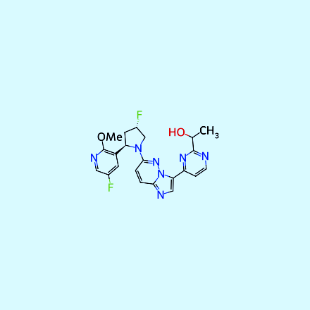 COc1ncc(F)cc1[C@H]1C[C@H](F)CN1c1ccc2ncc(-c3ccnc(C(C)O)n3)n2n1